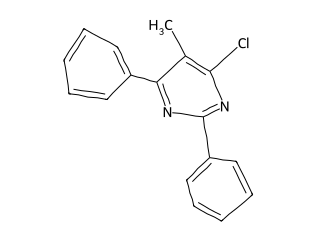 Cc1c(Cl)nc(-c2ccccc2)nc1-c1ccccc1